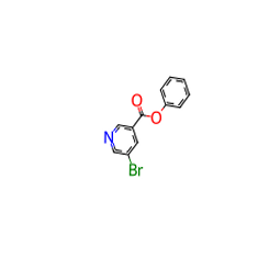 O=C(Oc1ccccc1)c1cncc(Br)c1